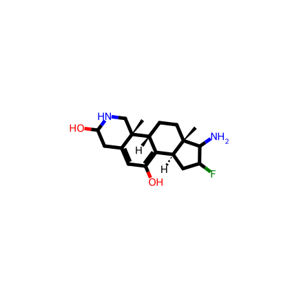 C[C@]12CNC(O)CC1=CC(O)=C1[C@H]2CC[C@]2(C)C(N)C(F)C[C@@H]12